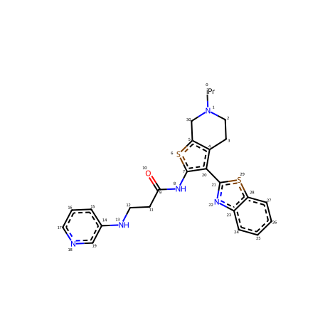 CC(C)N1CCc2c(sc(NC(=O)CCNc3cccnc3)c2-c2nc3ccccc3s2)C1